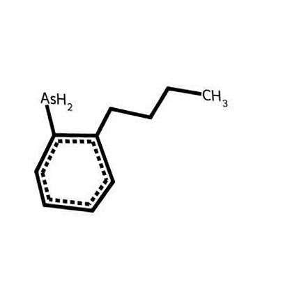 CCCCc1ccccc1[AsH2]